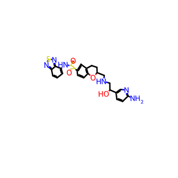 Nc1ccc(C(O)CNCC2CCc3cc(S(=O)(=O)Nc4cccc5nsnc45)ccc3O2)cn1